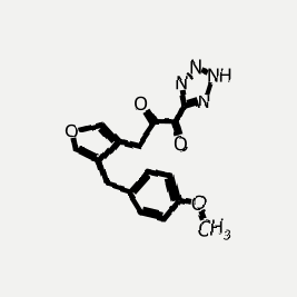 COc1ccc(Cc2cocc2CC(=O)C(=O)c2nn[nH]n2)cc1